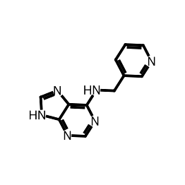 c1cncc(CNc2ncnc3[nH]cnc23)c1